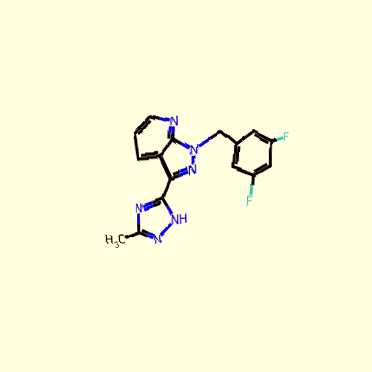 Cc1n[nH]c(-c2nn(Cc3cc(F)cc(F)c3)c3ncccc23)n1